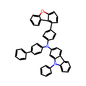 c1ccc(-c2ccc(N(c3ccc(-c4cccc5oc6ccccc6c45)cc3)c3ccc4c5ccccc5n(-c5ccccc5)c4c3)cc2)cc1